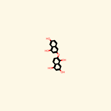 Oc1ccc2cc(Oc3ccc4c(O)cc(O)cc4c3O)cc(O)c2c1